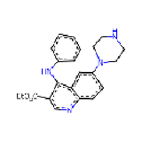 CCOC(=O)c1cnc2ccc(N3CCNCC3)cc2c1Nc1ccccc1